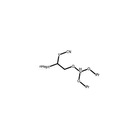 CCCCCCCC(CO[SiH](OC(C)C)OC(C)C)SC#N